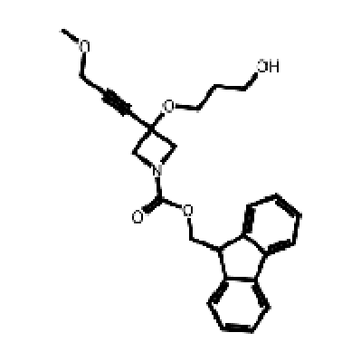 COCC#CC1(OCCCO)CN(C(=O)OCC2c3ccccc3-c3ccccc32)C1